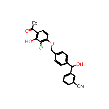 CCC(=O)c1ccc(OCc2ccc(C(O)c3cccc(C#N)c3)cc2)c(Cl)c1O